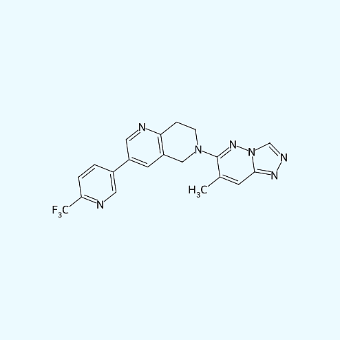 Cc1cc2nncn2nc1N1CCc2ncc(-c3ccc(C(F)(F)F)nc3)cc2C1